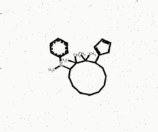 C[SiH](c1ccccc1)C1CCCCCCCC[C](C2=CC=CC2)C(C)(C)C1(C)C